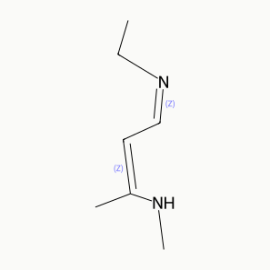 CC/N=C\C=C(\C)NC